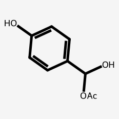 CC(=O)OC(O)c1ccc(O)cc1